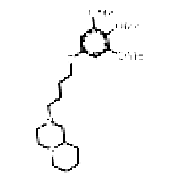 COc1cc(OCCCCN2CCN3CCCCC3C2)cc(OC)c1OC